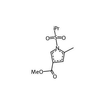 COC(=O)c1cc(C)n(S(=O)(=O)C(C)C)c1